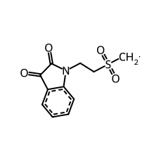 [CH2]S(=O)(=O)CCN1C(=O)C(=O)c2ccccc21